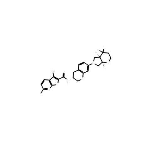 Cc1ccc2c(N)c(C(=O)N[C@H]3COc4cc(N5C[C@H]6NCCC(F)(F)[C@H]6C5)ccc4C3)sc2n1